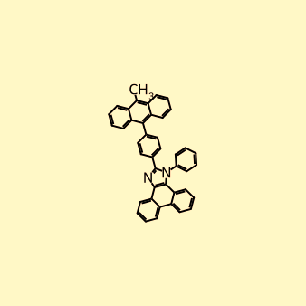 Cc1c2ccccc2c(-c2ccc(-c3nc4c5ccccc5c5ccccc5c4n3-c3ccccc3)cc2)c2ccccc12